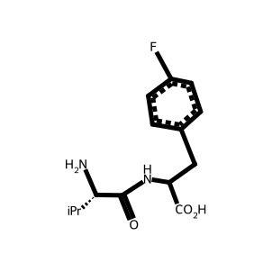 CC(C)[C@H](N)C(=O)NC(Cc1ccc(F)cc1)C(=O)O